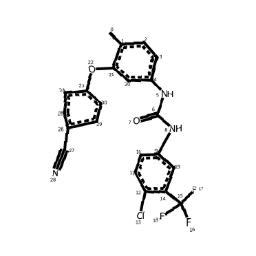 Cc1ccc(NC(=O)Nc2ccc(Cl)c(C(F)(F)F)c2)cc1Oc1ccc(C#N)cc1